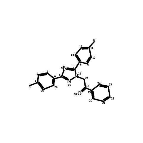 Cc1ccc(-c2nc(-c3ccc(C)cc3)n(CC(=O)c3ccccc3)n2)cc1